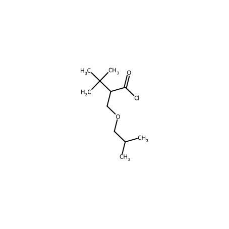 CC(C)COCC(C(=O)Cl)C(C)(C)C